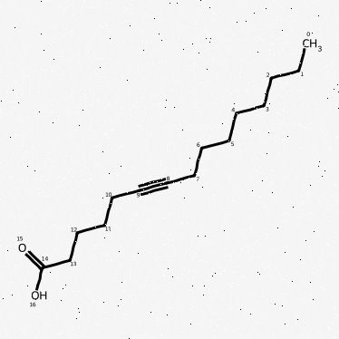 CCCCCCCCC#CCCCCC(=O)O